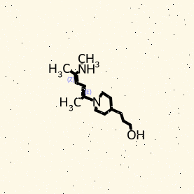 CN/C(C)=C\C=C(/C)N1CCC(CCCO)CC1